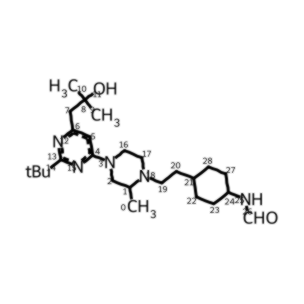 CC1CN(c2cc(CC(C)(C)O)nc(C(C)(C)C)n2)CCN1CCC1CCC(NC=O)CC1